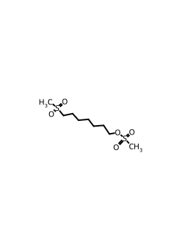 CS(=O)(=O)CCCCCCCOS(C)(=O)=O